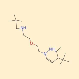 CCC(/C=C\N(N)CCOCCNCC(C)(C)C)C(C)(C)C